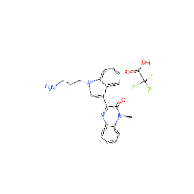 Cn1c(=O)c(-c2cn(CCCN)c3ccccc23)nc2ccccc21.O=C(O)C(F)(F)F